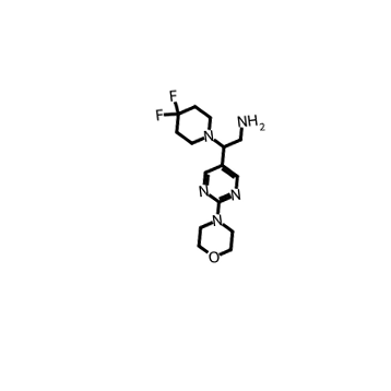 NCC(c1cnc(N2CCOCC2)nc1)N1CCC(F)(F)CC1